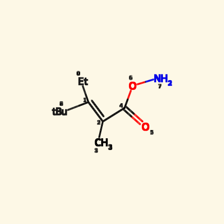 CCC(=C(C)C(=O)ON)C(C)(C)C